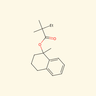 CCC(C)(C)C(=O)OC1(C)CCCc2ccccc21